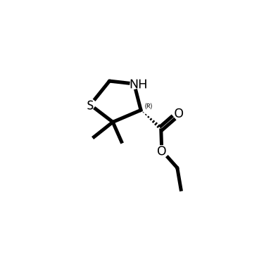 CCOC(=O)[C@H]1NCSC1(C)C